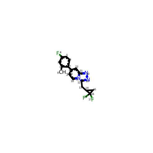 Cc1cc(F)ccc1-c1ccn2c(CC3CC3(F)F)nnc2c1